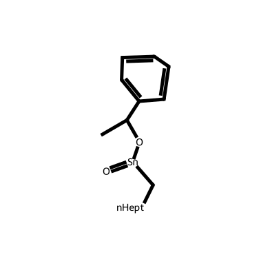 CCCCCCC[CH2][Sn](=[O])[O]C(C)c1ccccc1